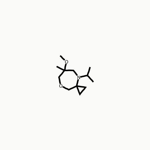 COC1(C)COCC2(CC2)N(C(C)C)C1